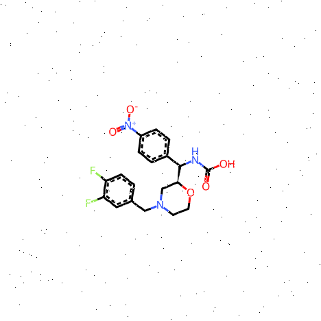 O=C(O)NC(c1ccc([N+](=O)[O-])cc1)[C@@H]1CN(Cc2ccc(F)c(F)c2)CCO1